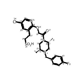 C[C@@H]1CN(Cc2ccc(F)cc2)[C@@H](C)CN1C(=O)COc1ncc(Cl)cc1CCS(=O)(=O)O